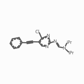 CC(C)N(C=Nc1ncc(C#Cc2ccccc2)c(Cl)n1)C(C)C